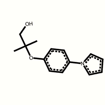 CC(C)(CO)Oc1ccc(-n2cccc2)cc1